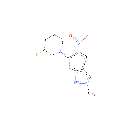 Cn1cc2cc([N+](=O)[O-])c(N3CCCC(F)C3)cc2n1